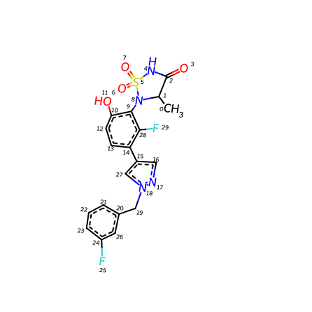 CC1C(=O)NS(=O)(=O)N1c1c(O)ccc(-c2cnn(Cc3cccc(F)c3)c2)c1F